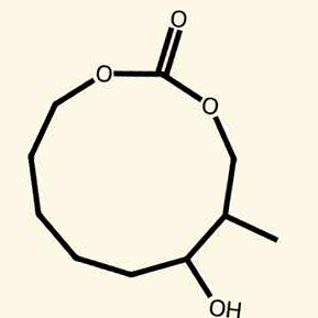 CC1COC(=O)OCCCCCC1O